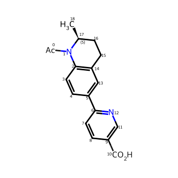 CC(=O)N1c2ccc(-c3ccc(C(=O)O)cn3)cc2CC[C@@H]1C